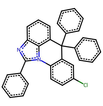 Clc1ccc2c(c1)C(c1ccccc1)(c1ccccc1)c1cccc3nc(-c4ccccc4)n-2c13